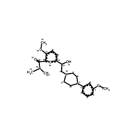 COc1cccc(N2CCN(CC(O)c3ccc(OC)c(C(=O)N(C)C)c3)CC2)c1